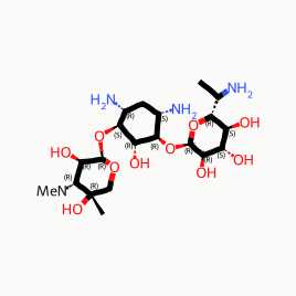 CN[C@@H]1[C@@H](O)[C@@H](O[C@@H]2[C@@H](O)[C@H](O[C@H]3O[C@H](C(C)N)[C@@H](O)[C@H](O)[C@H]3O)[C@@H](N)C[C@H]2N)OC[C@]1(C)O